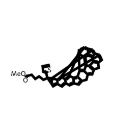 COC(=O)CCCCC1(c2cccs2)C23C=c4cc5cc6cc7c8c6c6c5c5c4C21c1c2c(cc4c9c%10c(cc(c%11c%10c%10c(c1c5c6c%10c8%11)c29)C7)C4)C3